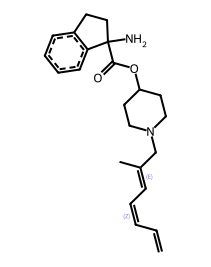 C=C/C=C\C=C(/C)CN1CCC(OC(=O)C2(N)CCc3ccccc32)CC1